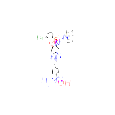 CCN(CC)CCN(c1ccc2c(c1)nc(CCc1ccc(C(N)=NO)cc1)n2C)S(=O)(=O)c1cccc(Br)c1